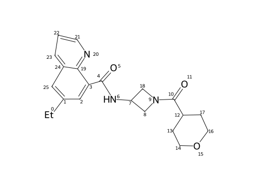 CCc1cc(C(=O)NC2CN(C(=O)C3CCOCC3)C2)c2ncccc2c1